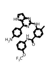 Cc1ccc(C(=O)Nc2cccc(OC(F)(F)F)c2)cc1Nc1nc(-c2ccc(N)cc2)c2[nH]ccc2n1